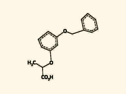 CC(Oc1cccc(OCc2ccccc2)c1)C(=O)O